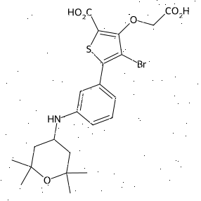 CC1(C)CC(Nc2cccc(-c3sc(C(=O)O)c(OCC(=O)O)c3Br)c2)CC(C)(C)O1